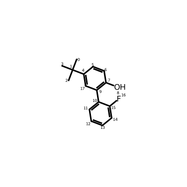 CC(C)(C)c1ccc(O)c(-c2ccccc2F)c1